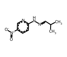 CC(C)C=NNc1ccc([N+](=O)[O-])cn1